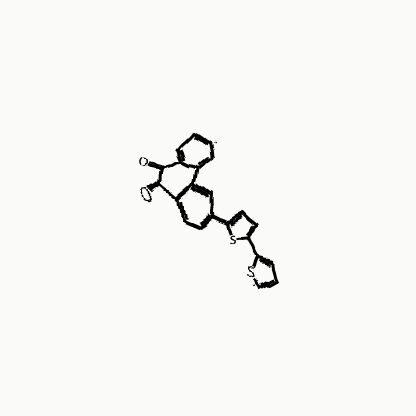 O=C1C(=O)c2ccc(-c3ccc(-c4cc[c]s4)s3)cc2-c2c[c]ccc21